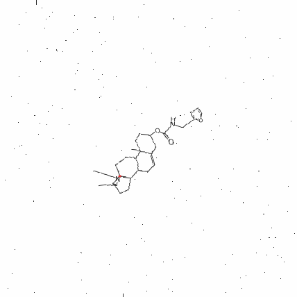 CC1C2CCC3C4CC=C5CC(OC(=O)NCc6ccco6)CCC5(C)C4CCC32CN1C